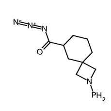 [N-]=[N+]=NC(=O)C1CCCC2(C1)CN(P)C2